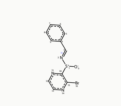 [O-][S+](/N=C/c1ccccc1)c1nccnc1Br